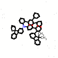 CC1(C)c2ccccc2-c2cccc(-c3ccccc3-c3ccc(N(c4ccc5c(c4)C4(CC6CCC4C6)c4ccccc4-5)c4ccccc4-c4ccc(-c5ccccc5)c(-c5ccccc5)c4)cc3)c21